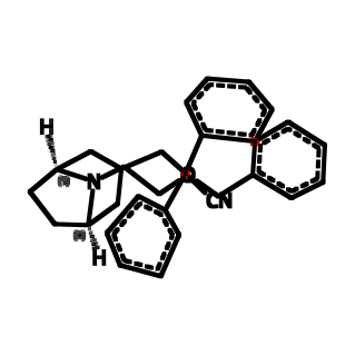 N#CC(CC1C[C@H]2CC[C@@H](C1)N2CCOCc1ccccc1)(c1ccccc1)c1ccccc1